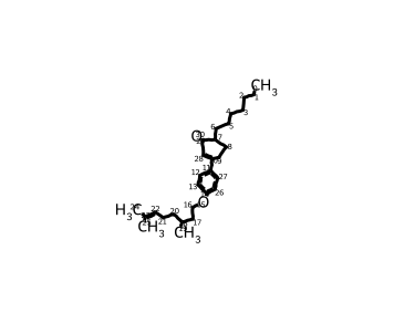 CCCCCCCC1CCC(c2ccc(OCCC(C)CCC=C(C)C)cc2)=CC1=O